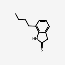 CCCCc1cccc2c1NC(=S)C2